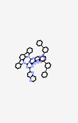 c1ccc(-c2cccc(-c3nc(-c4cccc(-c5ccccc5)c4)nc(-c4nccc(-n5c6ccccc6c6ccc7c8ccccc8n(-c8nc(-c9ccc%10ncccc%10n9)nc(-c9ccc%10ncccc%10n9)n8)c7c65)n4)n3)c2)cc1